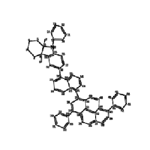 CC12CCCCC1(C)N(c1ccccc1)c1ccc(-c3cccc4c(-c5cc(-c6ccccc6)c6ccc7ccc(-c8ccccc8)c8ccc5c6c78)cccc34)cc12